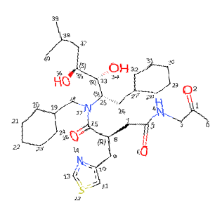 CC(=O)CNC(=O)C[C@@H](Cc1cscn1)C(=O)N(CC1CCCCC1)[C@@H](CC1CCCCC1)[C@@H](O)[C@@H](O)CC(C)C